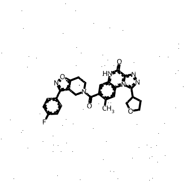 Cc1cc2c(cc1C(=O)N1CCc3onc(-c4ccc(F)cc4)c3C1)[nH]c(=O)c1nnc(C3CCOC3)n12